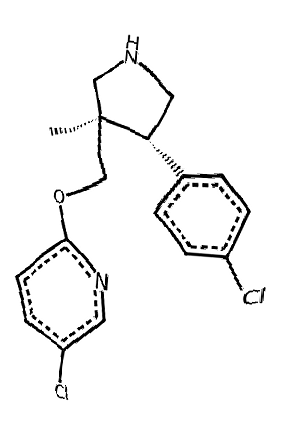 C[C@]1(COc2ccc(Cl)cn2)CNC[C@@H]1c1ccc(Cl)cc1